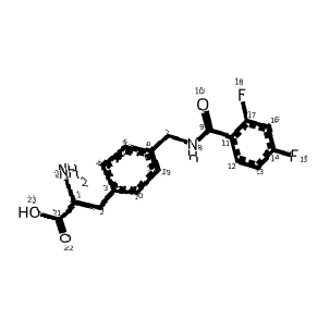 NC(Cc1ccc(CNC(=O)c2ccc(F)cc2F)cc1)C(=O)O